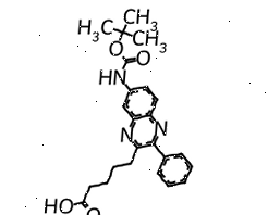 CC(C)(C)OC(=O)Nc1ccc2nc(-c3ccccc3)c(CCCCC(=O)O)nc2c1